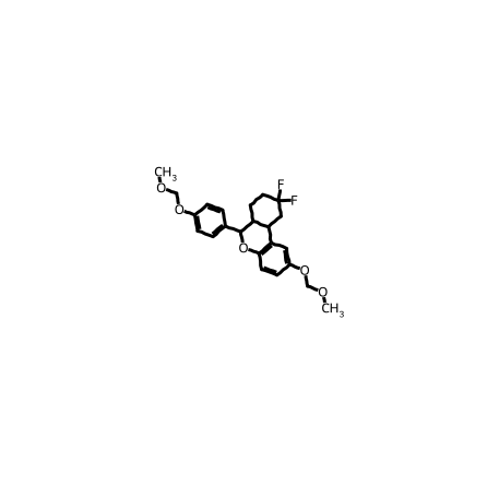 COCOc1ccc(C2Oc3ccc(OCOC)cc3C3CC(F)(F)CCC32)cc1